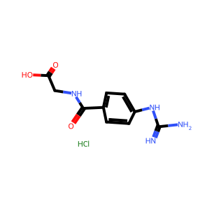 Cl.N=C(N)Nc1ccc(C(=O)NCC(=O)O)cc1